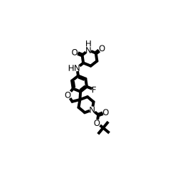 CC(C)(C)OC(=O)N1CCC2(CC1)COc1cc(NC3CCC(=O)NC3=O)cc(F)c12